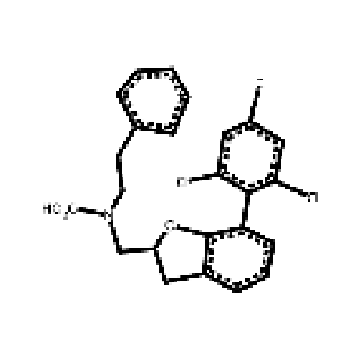 O=C(O)N(CCc1ccccc1)CC1Cc2cccc(-c3c(Cl)cc(Cl)cc3Cl)c2O1